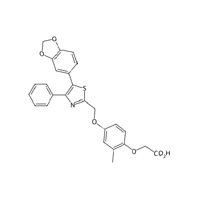 Cc1cc(OCc2nc(-c3ccccc3)c(-c3ccc4c(c3)OCO4)s2)ccc1OCC(=O)O